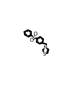 O=S(=O)(c1ccccc1)c1ccc(CN2C=CSC2)cc1